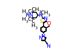 CN(c1nc2c(s1)-c1ccc(-n3cc(C#N)cn3)cc1CO2)C1CC(C)(C)NC(C)(C)C1